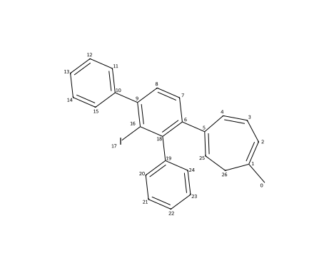 CC1=CC=CC(c2ccc(-c3ccccc3)c(I)c2-c2ccccc2)=CC1